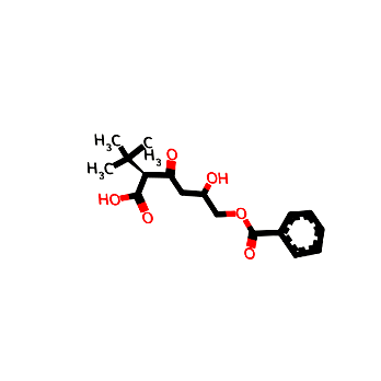 CC(C)(C)[C@H](C(=O)O)C(=O)CC(O)COC(=O)c1ccccc1